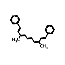 CC(C=Cc1ccccc1)=CC=CC=C(C)C=Cc1ccccc1